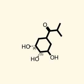 CC(C)C(=O)C1CC(O)[C@H](O)[C@H](O)C1